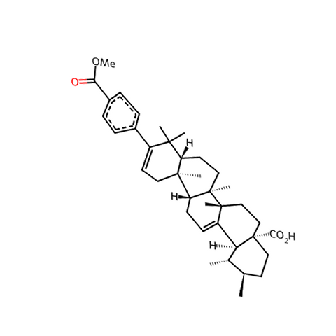 COC(=O)c1ccc(C2=CC[C@]3(C)[C@H]4CC=C5[C@@H]6[C@@H](C)[C@H](C)CC[C@]6(C(=O)O)CC[C@@]5(C)[C@]4(C)CC[C@H]3C2(C)C)cc1